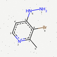 Cc1nccc(NN)c1Br